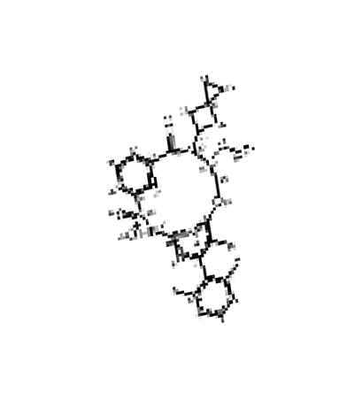 Cc1cccc(C)c1-c1nc2nc(c1C)OC[C@@H](CC(C)C)N(C1CC3(CC3)C1)C(=O)c1cccc(n1)S(=O)(=O)N2